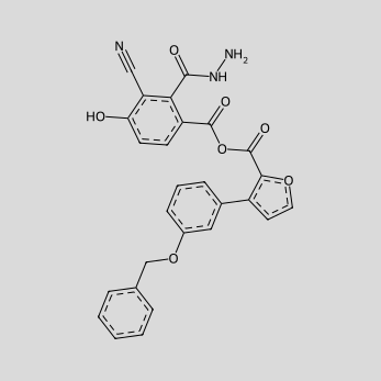 N#Cc1c(O)ccc(C(=O)OC(=O)c2occc2-c2cccc(OCc3ccccc3)c2)c1C(=O)NN